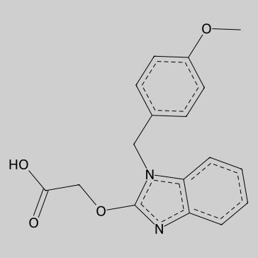 COc1ccc(Cn2c(OCC(=O)O)nc3ccccc32)cc1